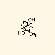 C=COC1O[C@H]2[C@@H](OC[C@H]2O)[C@@H]1O